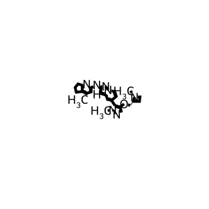 Cc1cc(Nc2cc3cc(-c4c(OC[C@H]5CCN5C)cnn4C)ccn3n2)nc2c1CCC2